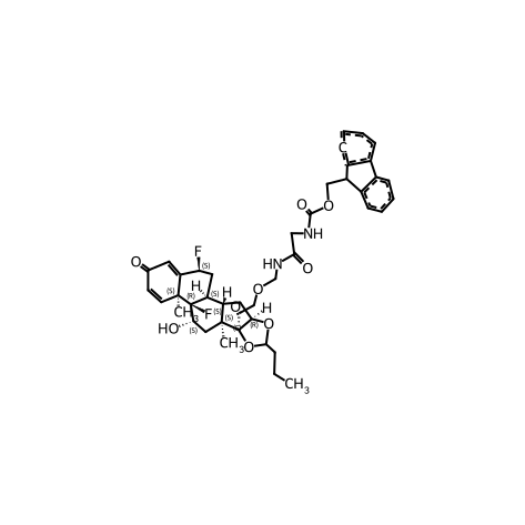 CCCC1O[C@@H]2C[C@H]3[C@@H]4C[C@H](F)C5=CC(=O)C=C[C@]5(C)[C@@]4(F)[C@@H](O)C[C@]3(C)[C@]2(C(=O)COCNC(=O)CNC(=O)OCC2c3ccccc3-c3ccccc32)O1